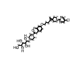 O=C(Cc1ccc(OCCCC2CC23CCN(c2ncc(Cl)cn2)CC3)cc1F)N1CCN(C[C@H](O)[C@@H](O)[C@H](O)[C@H](O)CO)CC1